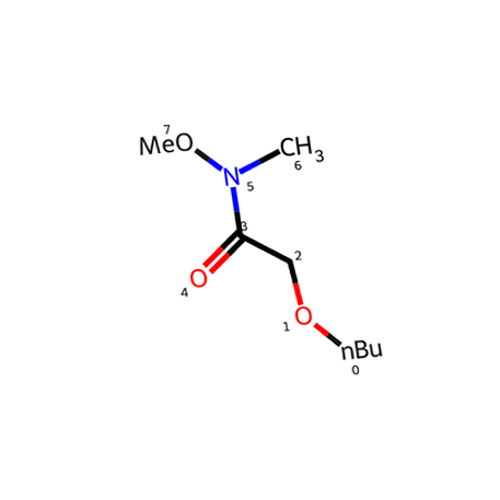 CCCCOCC(=O)N(C)OC